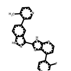 Cc1ccncc1-c1ccc2[nH]nc(-c3nc4c(-c5ccccc5F)ccnc4[nH]3)c2c1